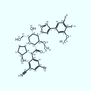 COc1cc(-c2cn([C@H]3[C@@H](O)[C@@H](CO)O[C@@H](C(=O)N(c4cc(Br)cc(C#N)c4)[C@H]4CCC[C@@H]4O)[C@@H]3OC)nn2)cc(F)c1F